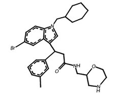 Cc1cccc(C(CC(=O)NCC2CNCCO2)c2cn(CC3CCCCC3)c3ccc(Br)cc23)c1